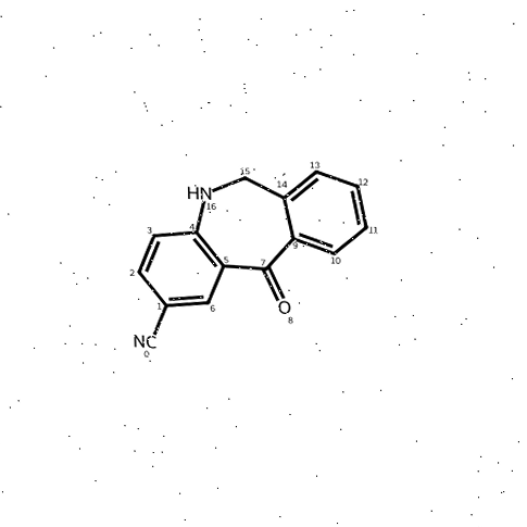 N#Cc1ccc2c(c1)C(=O)c1ccccc1CN2